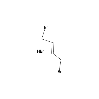 Br.BrCC=CCBr